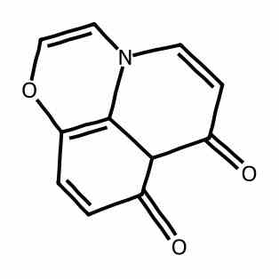 O=C1C=CC2=C3C1C(=O)C=CN3C=CO2